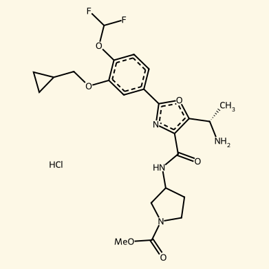 COC(=O)N1CCC(NC(=O)c2nc(-c3ccc(OC(F)F)c(OCC4CC4)c3)oc2[C@H](C)N)C1.Cl